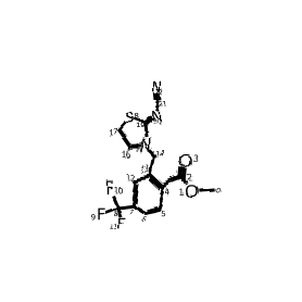 COC(=O)c1ccc(C(F)(F)F)cc1CN1CCSC1=NC#N